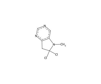 CN1c2cncnc2CC1(Cl)Cl